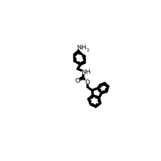 Nc1ccc(CNC(=O)OCC2c3ccccc3-c3ccccc32)cc1